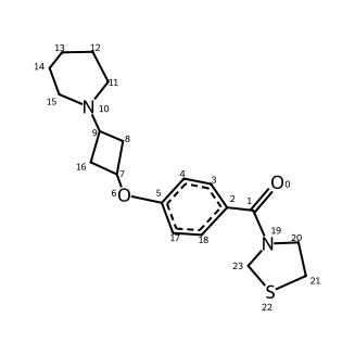 O=C(c1ccc(OC2CC(N3CCCCC3)C2)cc1)N1CCSC1